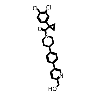 O=C(N1CCC(c2ccc(-c3ccc(CO)nc3)cc2)CC1)C1(c2ccc(Cl)c(Cl)c2)CC1